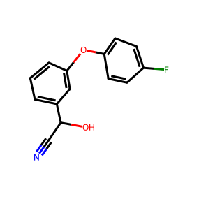 N#CC(O)c1cccc(Oc2ccc(F)cc2)c1